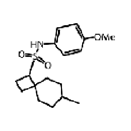 COc1ccc(NS(=O)(=O)C2CCC23CCC(C)CC3)cc1